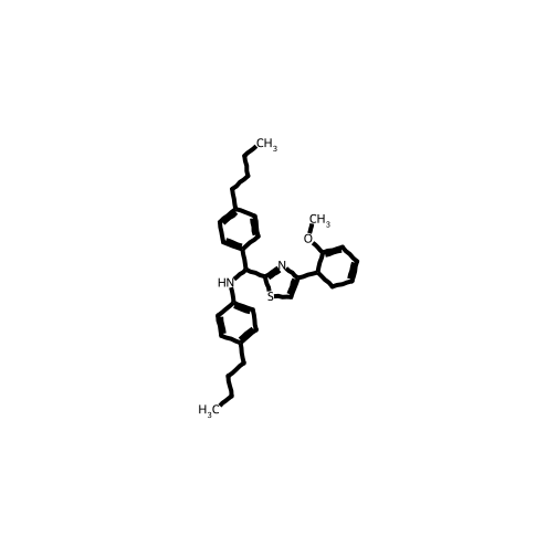 CCCCc1ccc(NC(c2ccc(CCCC)cc2)c2nc(C3CC=CC=C3OC)cs2)cc1